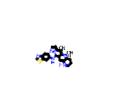 CN1c2c(c(Nc3ccc4ncsc4c3)n3nccc3c2C#N)C=C2NCCC[C@@H]21